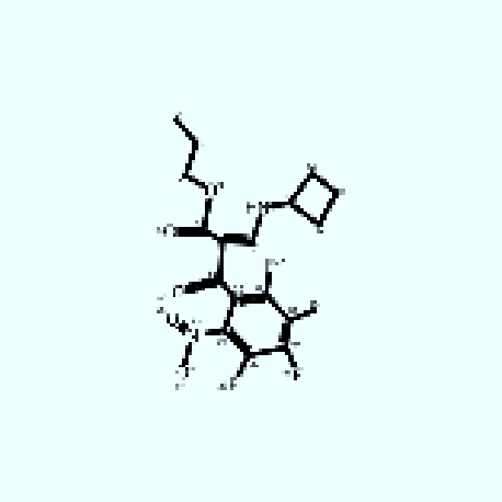 CCCOC(=O)C(=CNC1CCC1)C(=O)c1c(F)c(C)c(F)c(F)c1[N+](=O)[O-]